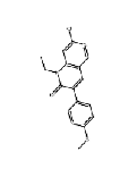 CCn1c(=O)c(-c2ccc(SC)cc2)cc2cnc(Cl)cc21